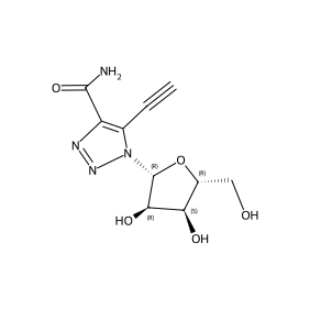 C#Cc1c(C(N)=O)nnn1[C@@H]1O[C@H](CO)[C@@H](O)[C@H]1O